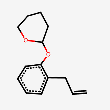 C=CCc1ccccc1OC1CCCCO1